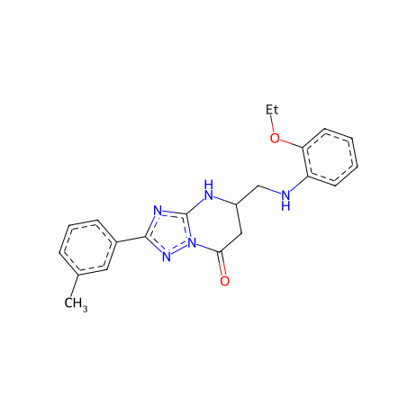 CCOc1ccccc1NCC1CC(=O)n2nc(-c3cccc(C)c3)nc2N1